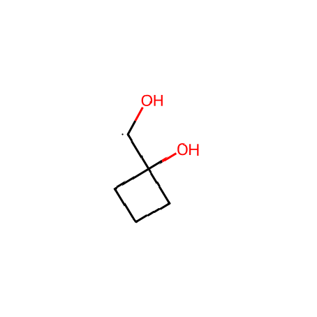 O[CH]C1(O)CCC1